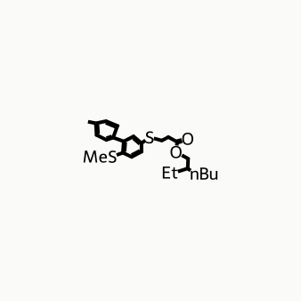 CCCCC(CC)COC(=O)CCSc1ccc(SC)c(-c2ccc(C)cc2)c1